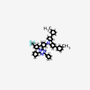 Cc1cccc(-c2ccc3c(c2)c2cc(-c4cccc(C)c4)ccc2n3-c2ccc(-c3cccc(C(F)(F)F)c3)c(-c3nc(-c4ccccc4)nc(-c4ccccc4)n3)c2)c1